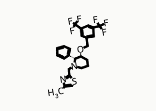 Cc1csc(CN2CCC[C@@H](OCc3cc(C(F)(F)F)cc(C(F)(F)F)c3)[C@H]2c2ccccc2)n1